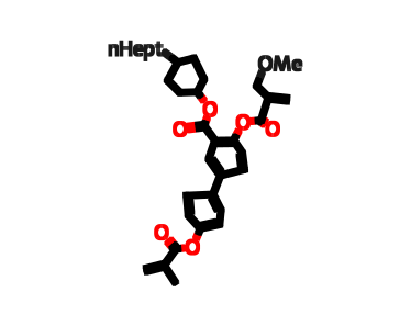 C=C(C)C(=O)Oc1ccc(-c2ccc(OC(=O)C(=C)COC)c(C(=O)OC3CCC(CCCCCCC)CC3)c2)cc1